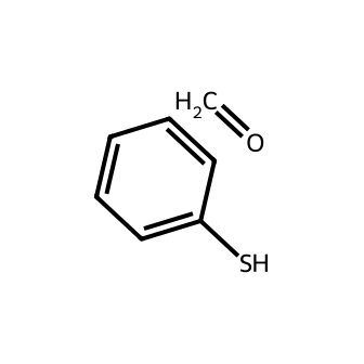 C=O.Sc1ccccc1